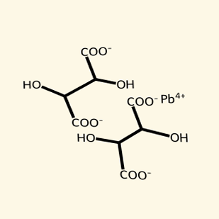 O=C([O-])C(O)C(O)C(=O)[O-].O=C([O-])C(O)C(O)C(=O)[O-].[Pb+4]